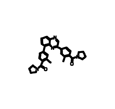 Cc1cc(-c2cnc3cccc(-c4ccc(C(=O)N5CCCC5)c(C)c4)c3n2)ccc1C(=O)N1CCCC1